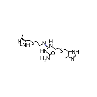 Cc1nc[nH]c1CSCC/N=C(/NCCSCc1[nH]cnc1C)NC(N)=O